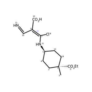 CCOC(=O)[C@]1(C)CC[C@@H](N/C(Cl)=C(\C=N)C(=O)O)CC1